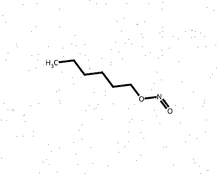 CCCCCCON=O